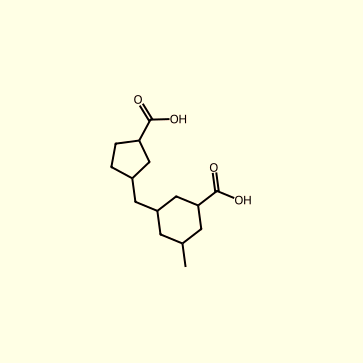 CC1CC(CC2CCC(C(=O)O)C2)CC(C(=O)O)C1